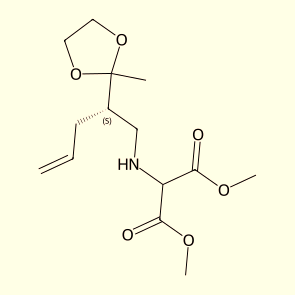 C=CC[C@@H](CNC(C(=O)OC)C(=O)OC)C1(C)OCCO1